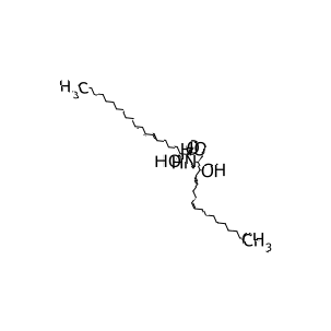 CCCCCCCCC/C=C\CC/C=C/[C@@H](O)[C@H](CO)NC(=O)[C@H](O)CCCCCCCCCCCCCCCCCC